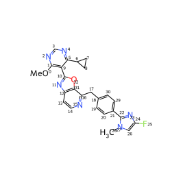 COc1ncnc(C2CC2)c1-c1nc2ccnc(Cc3ccc(-c4nc(F)cn4C)cc3)c2o1